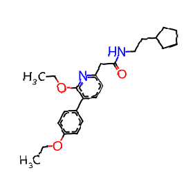 CCOc1ccc(-c2ccc(CC(=O)NCCC3CCCC3)nc2OCC)cc1